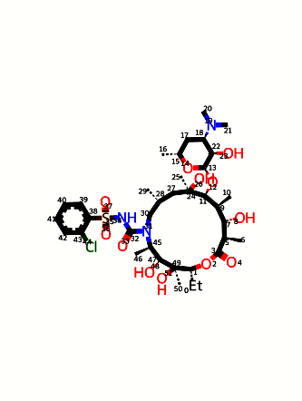 CC[C@H]1OC(=O)[C@H](C)[C@@H](O)[C@H](C)[C@@H](O[C@@H]2O[C@H](C)C[C@H](N(C)C)[C@H]2O)[C@](C)(O)C[C@@H](C)CN(C(=O)NS(=O)(=O)c2ccccc2Cl)[C@H](C)[C@@H](O)[C@]1(C)O